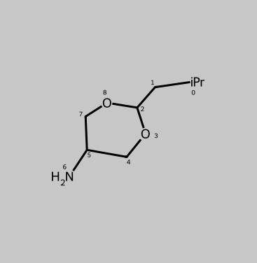 CC(C)CC1OCC(N)CO1